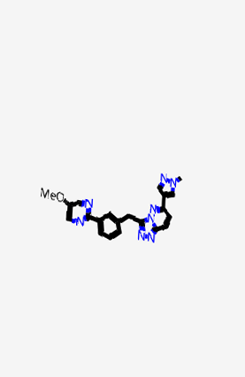 COc1cnc(-c2cccc(Cc3nnc4ccc(-c5cnn(C)c5)nn34)c2)nc1